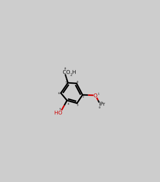 CC(C)Oc1cc(O)cc(C(=O)O)c1